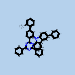 FC(F)(F)c1ccccc1-c1ccc(-c2nc(-c3ccccc3)nc(-c3ccccc3)n2)c(-n2c3ccccc3c3cc(-c4ccccc4)ccc32)c1